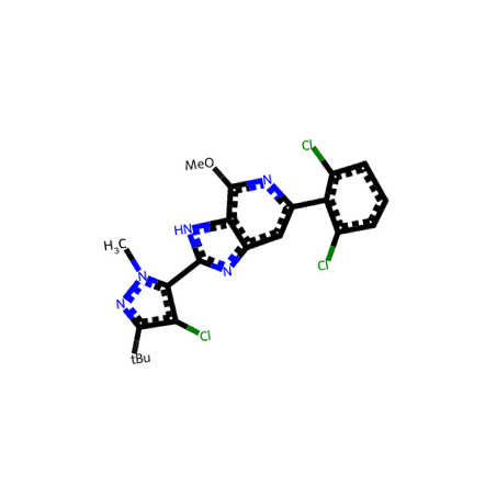 COc1nc(-c2c(Cl)cccc2Cl)cc2nc(-c3c(Cl)c(C(C)(C)C)nn3C)[nH]c12